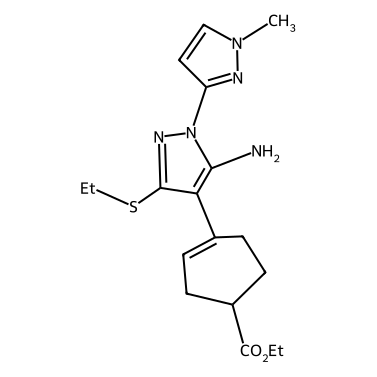 CCOC(=O)C1CC=C(c2c(SCC)nn(-c3ccn(C)n3)c2N)CC1